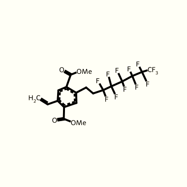 C=Cc1cc(C(=O)OC)c(CCC(F)(F)C(F)(F)C(F)(F)C(F)(F)C(F)(F)C(F)(F)F)cc1C(=O)OC